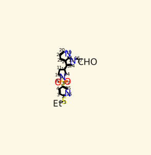 CCSc1ccc(S(=O)(=O)N2CCC(c3cn(CC=O)c4ncccc34)C2)cn1